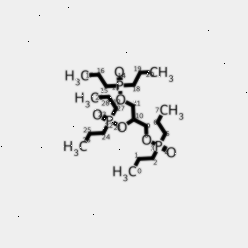 CCCP(=O)(CCC)OCC(COP(=O)(CCC)CCC)OP(=O)(CCC)CCC